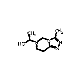 Cc1nnc2n1CN(C(C)O)CC2